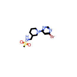 CS(=O)(=O)NCC1CCCN(c2cc(Br)ncn2)C1